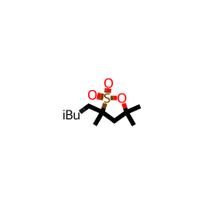 CCC(C)CC1(C)CC(C)(C)OS1(=O)=O